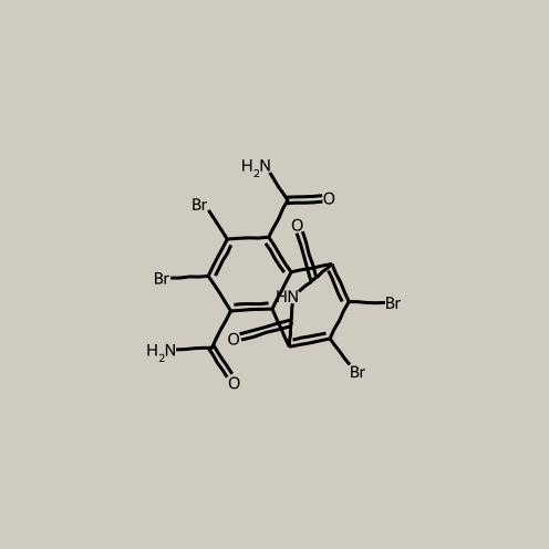 NC(=O)c1c(Br)c(Br)c(C(N)=O)c2c3c(Br)c(Br)c(c(=O)[nH]c3=O)c12